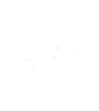 CCCCN(CCC#N)C(=O)c1cc(-c2ccnc3[nH]ccc23)c[nH]1